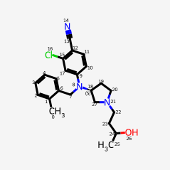 Cc1ccccc1CN(c1ccc(C#N)c(Cl)c1)[C@H]1CCN(CCC(C)O)C1